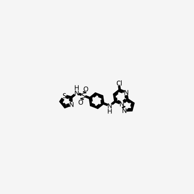 O=S(=O)(Nc1nccs1)c1ccc(Nc2cc(Cl)nc3ccnn23)cc1